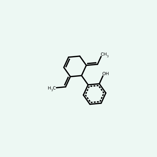 CC=C1C=CCC(=CC)C1c1ccccc1O